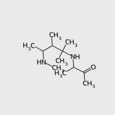 CNC(C)C(C)C(C)(C)NC(C)C(C)=O